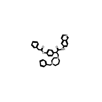 O=C(Cc1ccccc1)Oc1ccc(C(CN2CCCN(Cc3ccccc3)CC2)C(=O)Nc2ccc3cnccc3c2)cc1